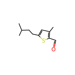 Cc1cc(CCC(C)C)sc1C=O